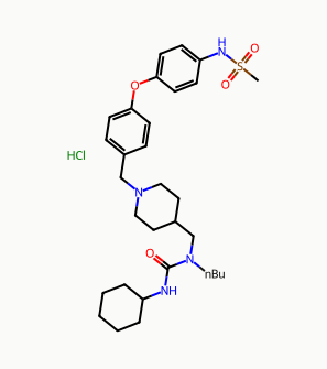 CCCCN(CC1CCN(Cc2ccc(Oc3ccc(NS(C)(=O)=O)cc3)cc2)CC1)C(=O)NC1CCCCC1.Cl